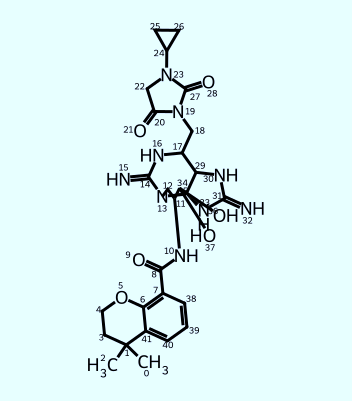 CC1(C)CCOc2c(C(=O)NC3CN4C(=N)NC(CN5C(=O)CN(C6CC6)C5=O)C5NC(=N)N[C@@]54C3(O)O)cccc21